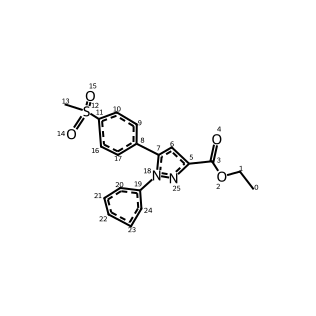 CCOC(=O)c1cc(-c2ccc(S(C)(=O)=O)cc2)n(-c2ccccc2)n1